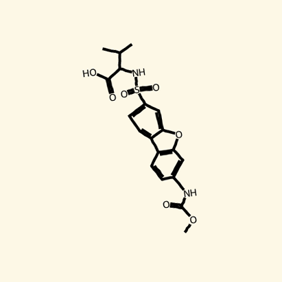 COC(=O)Nc1ccc2c(c1)oc1cc(S(=O)(=O)NC(C(=O)O)C(C)C)ccc12